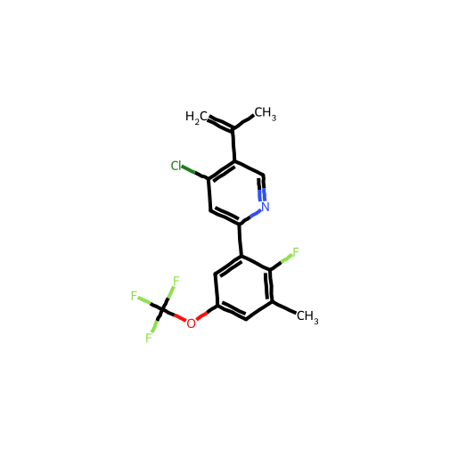 C=C(C)c1cnc(-c2cc(OC(F)(F)F)cc(C)c2F)cc1Cl